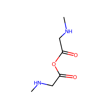 CNCC(=O)OC(=O)CNC